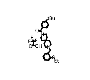 CCOc1ccccc1CN1CCC2(CC1)CCN(C(=O)c1ccc(C(C)(C)C)cc1)CC2.O=C(O)C(F)(F)F